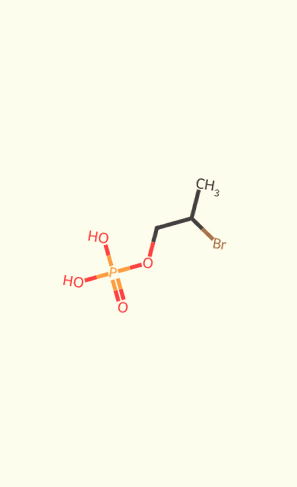 CC(Br)COP(=O)(O)O